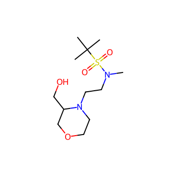 CN(CCN1CCOCC1CO)S(=O)(=O)C(C)(C)C